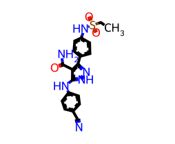 CCS(=O)(=O)Nc1ccc(-c2n[nH]c(Nc3ccc(C#N)cc3)c2C(N)=O)cc1